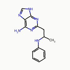 CC(Cc1nc(N)c2nc[nH]c2n1)Nc1ccccc1